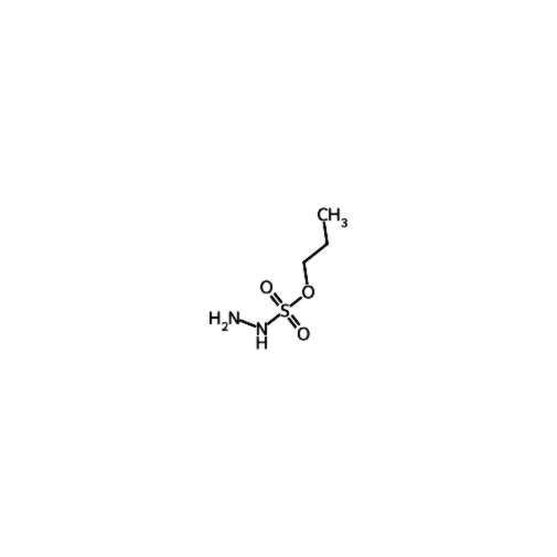 CCCOS(=O)(=O)NN